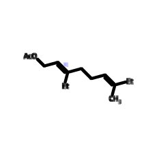 CCC(C)=CCC/C(=C/COC(C)=O)CC